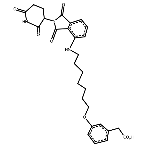 O=C(O)Cc1cccc(OCCCCCCCNc2cccc3c2C(=O)N(C2CCC(=O)NC2=O)C3=O)c1